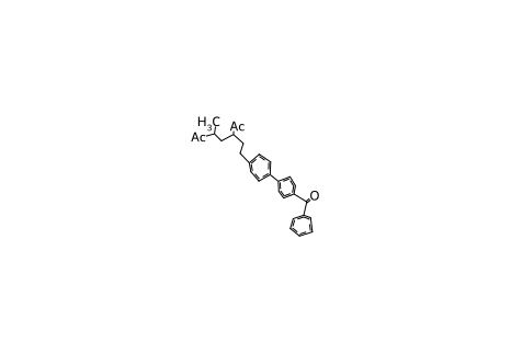 CC(=O)C(C)CC(CCc1ccc(-c2ccc(C(=O)c3ccccc3)cc2)cc1)C(C)=O